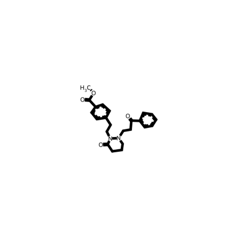 COC(=O)c1ccc(CCN2C(=O)CCCN2CCC(=O)c2ccccc2)cc1